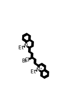 CCN1/C(=C/C=C(Cl)/C=C/c2ccc3ccccc3[n+]2CC)C=Cc2ccccc21.[Br-]